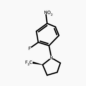 O=[N+]([O-])c1ccc(N2CCC[C@H]2C(F)(F)F)c(F)c1